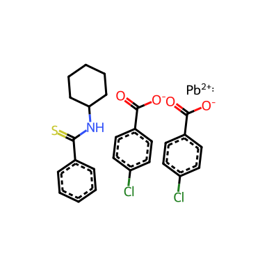 O=C([O-])c1ccc(Cl)cc1.O=C([O-])c1ccc(Cl)cc1.S=C(NC1CCCCC1)c1ccccc1.[Pb+2]